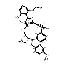 Cc1cccc(CCC(C)C)c1-c1nc2nc(c1C)OC[C@@H](CC(C)(C)C)C(Cc1ncc(OC(C)C)cn1)c1cccc(c1)S(=O)(=O)N2